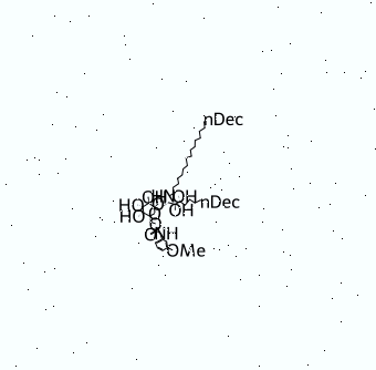 CCCCCCCCCCCCCCCCCCCCCCCCCCN[C@@H](CO[C@H]1O[C@H](COC(=O)Nc2cccc(OC)c2)[C@H](O)[C@H](O)[C@H]1O)[C@H](O)[C@H](O)CCCCCCCCCCCCCC